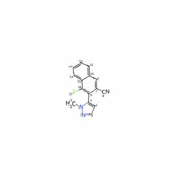 Cn1nccc1-c1c(C#N)cc2ccccc2c1F